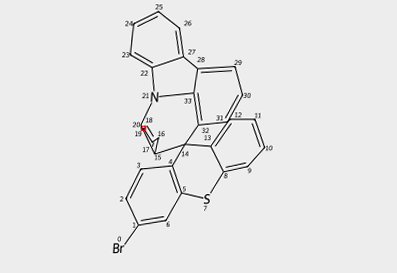 Brc1ccc2c(c1)Sc1ccccc1C21c2ccccc2-n2c3ccccc3c3cccc1c32